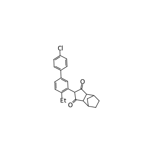 CCc1ccc(-c2ccc(Cl)cc2)cc1C1C(=O)C2C3CCC(C3)C2C1=O